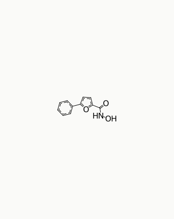 O=C(NO)c1ccc(-c2ccccc2)o1